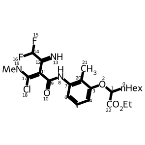 CCCCCCC(Oc1cccc(NC(=O)/C(C(=N)C(F)F)=C(\Cl)NC)c1C)C(=O)OCC